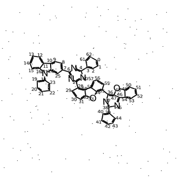 c1ccc(-c2nc(-c3ccc4c5ccccc5n(-c5ccccc5)c4c3)nc(-c3cccc4oc5c(-c6nc(-c7ccccc7)nc7c6oc6ccccc67)cccc5c34)n2)cc1